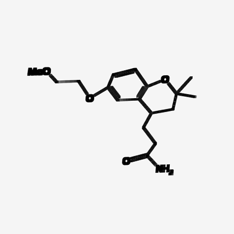 COCCOc1ccc2c(c1)C(CCC(N)=O)CC(C)(C)O2